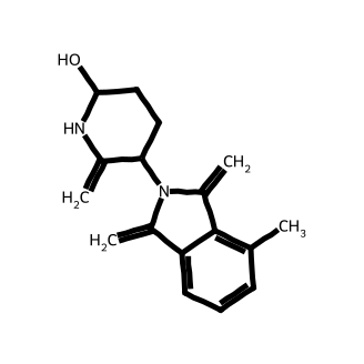 C=C1NC(O)CCC1n1c(=C)c2cccc(C)c2c1=C